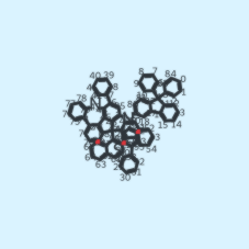 c1ccc(C2(c3ccccc3)c3ccccc3-c3cc(N(c4ccc5c(c4)sc4ccccc45)c4cc5c6ccccc6n6c5c5c4C(c4ccc7ccccc7c4)(c4cccc7ccccc47)c4cccc(c4-5)-c4ccccc4-6)ccc32)cc1